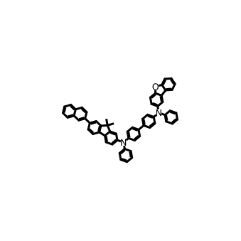 CC1(C)c2cc(-c3ccc4ccccc4c3)ccc2-c2ccc(N(c3ccccc3)c3ccc(-c4ccc(N(c5ccccc5)c5ccc6oc7ccccc7c6c5)cc4)cc3)cc21